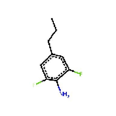 CCCc1cc(F)c(N)c(F)c1